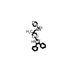 CCC(NCC1(C)COC(c2nc(-c3ccccc3)c(-c3ccccc3)[nH]2)OC1)N1CCOCC1